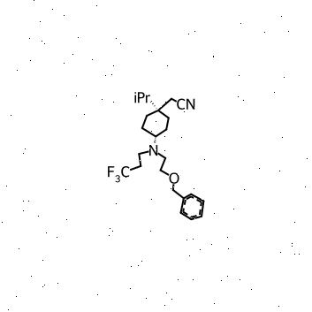 CC(C)[C@]1(CC#N)CC[C@H](N(CCOCc2ccccc2)CCC(F)(F)F)CC1